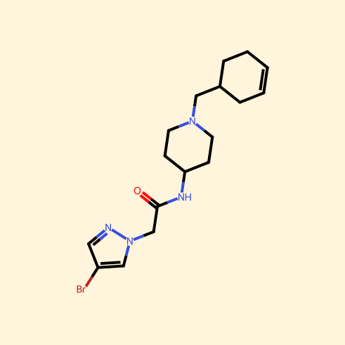 O=C(Cn1cc(Br)cn1)NC1CCN(CC2CC=CCC2)CC1